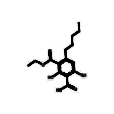 CCCCCc1cc(O)c(C(=O)O)c(O)c1C(=O)OCC